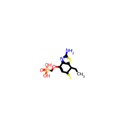 CCC1C(=S)C=C(OCP(=O)(O)O)c2nc(N)sc21